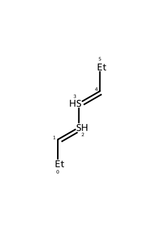 CCC=[SH][SH]=CCC